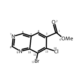 COC(=O)c1cc2cncnc2c(Br)c1Cl